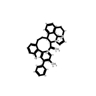 C=C1C2C(CCc3cccc(F)c3-c3cc(-c4ccccc4)c(C)c[n+]31)c1cccc3c1C1N(C=CN21)CC3